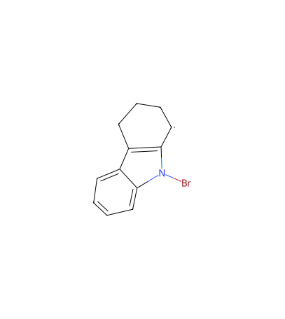 Brn1c2c(c3ccccc31)CCC[CH]2